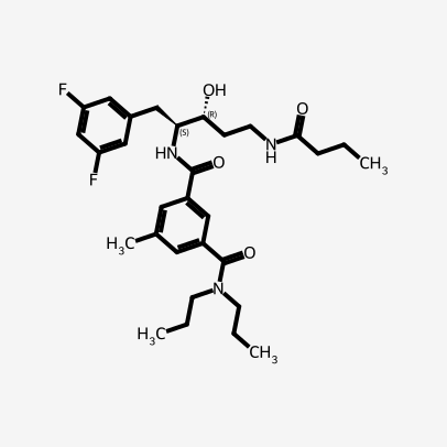 CCCC(=O)NCC[C@@H](O)[C@H](Cc1cc(F)cc(F)c1)NC(=O)c1cc(C)cc(C(=O)N(CCC)CCC)c1